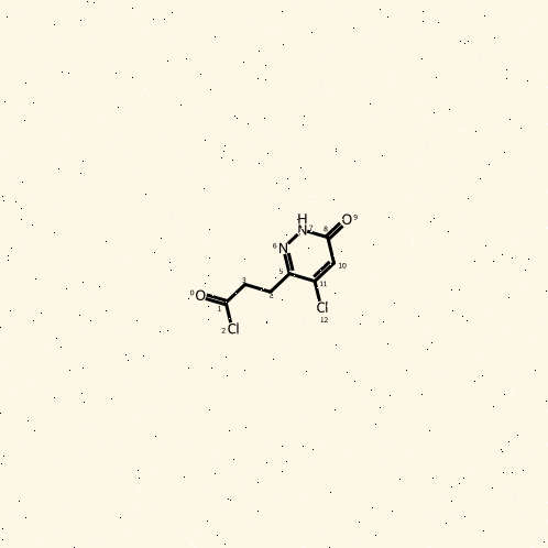 O=C(Cl)CCc1n[nH]c(=O)cc1Cl